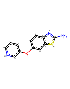 Nc1nc2ccc(Oc3cccnc3)cc2s1